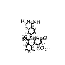 CS(=O)(=O)O.N=C(N)c1ccc(NC(=O)c2ccccc2-c2ccc(Cl)cc2C(=O)O)cc1